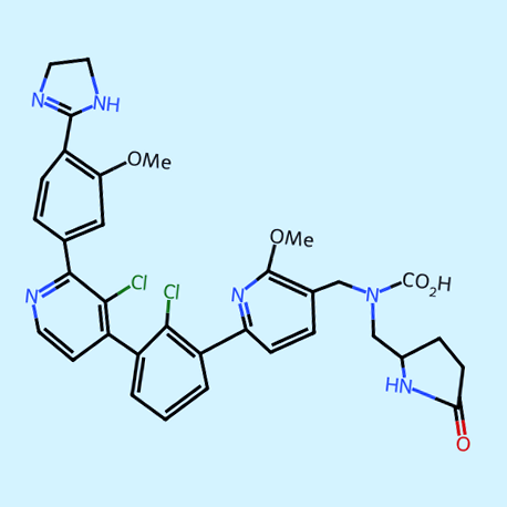 COc1cc(-c2nccc(-c3cccc(-c4ccc(CN(CC5CCC(=O)N5)C(=O)O)c(OC)n4)c3Cl)c2Cl)ccc1C1=NCCN1